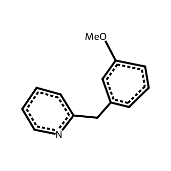 COc1cccc(Cc2ccccn2)c1